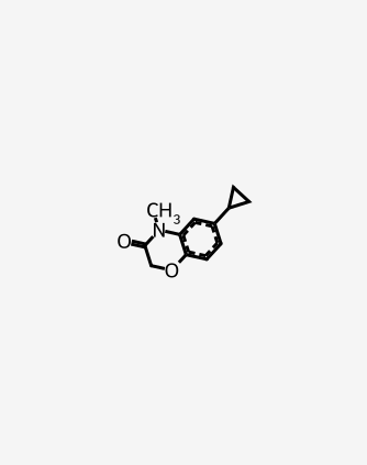 CN1C(=O)COc2ccc(C3CC3)cc21